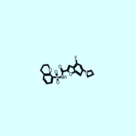 O=C(NS(=O)(=O)c1cccc2c1OCCC2)c1cc2c(F)cc(N3CCC3)cc2o1